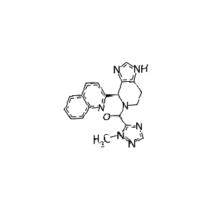 Cn1ncnc1C(=O)N1CCc2[nH]cnc2[C@@H]1c1ccc2ccccc2n1